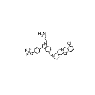 NCCCn1cc(-c2ccc(OC(F)(F)F)cc2)c2cc(CN3CCCC4(CCN(Cc5c(Cl)cccc5Cl)CC4)C3)ccc21